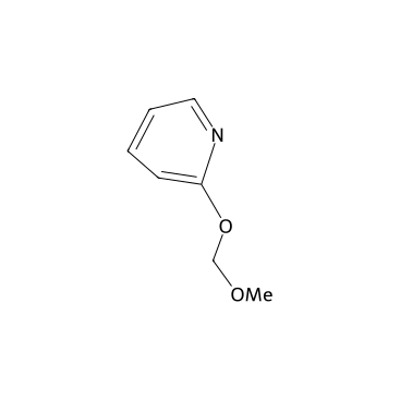 COCOc1ccccn1